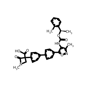 Cc1ccccc1[C@@H](C)OC(=O)Nc1c(C)noc1-c1ccc(-c2ccc(C3(C(=O)O)CN(C)C3=O)cc2)cc1